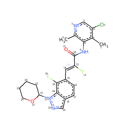 Cc1ncc(Cl)c(C)c1NC(=O)/C(F)=C/c1ccc2cnn(C3CCCCO3)c2c1F